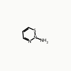 NN1N=CC=CS1